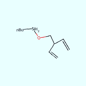 C=CC(C=C)CO[SiH2]CCCC